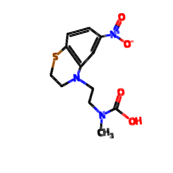 CN(CCN1CCSc2ccc([N+](=O)[O-])cc21)C(=O)O